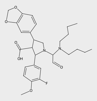 CCCCN(CCCC)C(C=O)N1CC(c2ccc3c(c2)OCO3)C(C(=O)O)C1c1ccc(OC)c(F)c1